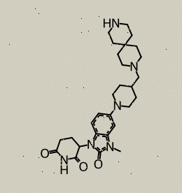 Cn1c(=O)n(C2CCC(=O)NC2=O)c2ccc(N3CCC(CN4CCC5(CCNCC5)CC4)CC3)cc21